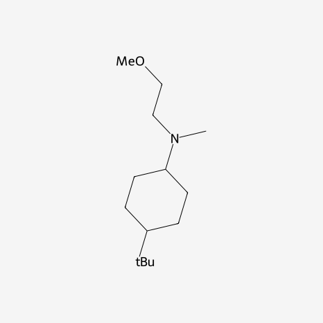 COCCN(C)C1CCC(C(C)(C)C)CC1